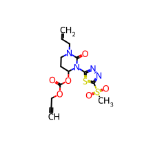 C#CCOC(=O)OC1CCN(CC=C)C(=O)N1c1nnc(S(C)(=O)=O)s1